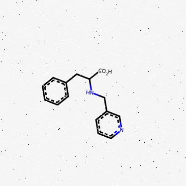 O=C(O)C(Cc1ccccc1)NCc1cccnc1